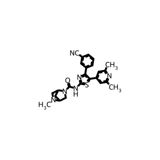 Cc1cc(-c2sc(NC(=O)N3CC4CC3CN4C)nc2-c2cccc(C#N)c2)cc(C)n1